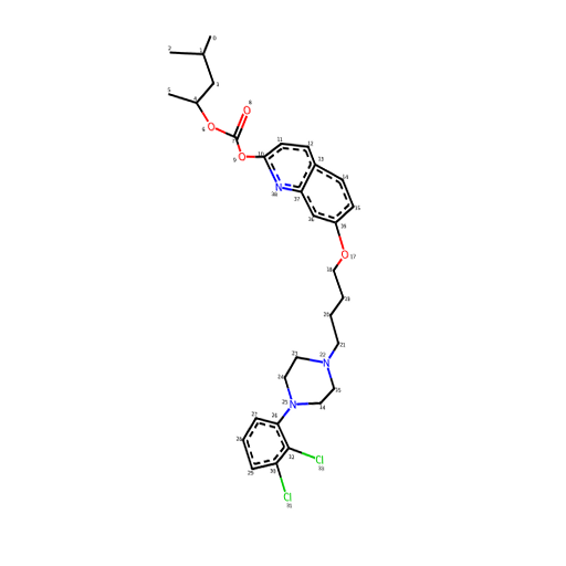 CC(C)CC(C)OC(=O)Oc1ccc2ccc(OCCCCN3CCN(c4cccc(Cl)c4Cl)CC3)cc2n1